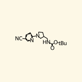 CC(C)(C)OC(=O)NCC1CCN(c2ccc(C#N)cn2)C1